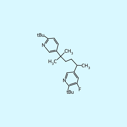 CC(CCC(C)(C)c1ccc(C(C)(C)C)nc1)c1cnc(C(C)(C)C)c(F)c1